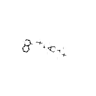 CC(C)(COc1ccnc2ccccc12)NC(=O)[C@H]1[C@@H]2CN(C(=O)OC(C)(C)C)C[C@@H]21